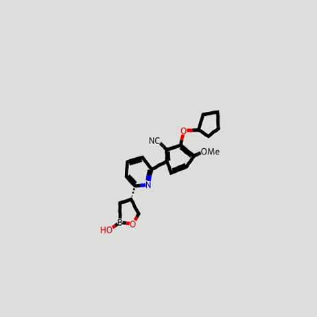 COc1ccc(-c2cccc([C@@H]3COB(O)C3)n2)c(C#N)c1OC1CCCC1